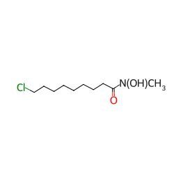 CN(O)C(=O)CCCCCCCCCl